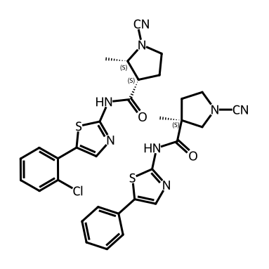 C[C@H]1[C@@H](C(=O)Nc2ncc(-c3ccccc3Cl)s2)CCN1C#N.C[C@]1(C(=O)Nc2ncc(-c3ccccc3)s2)CCN(C#N)C1